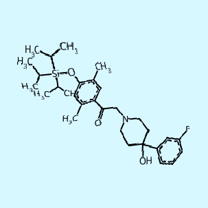 Cc1cc(C(=O)CN2CCC(O)(c3cccc(F)c3)CC2)c(C)cc1O[Si](C(C)C)(C(C)C)C(C)C